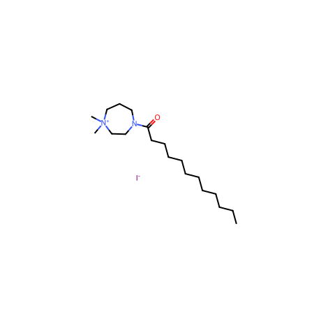 CCCCCCCCCCCC(=O)N1CCC[N+](C)(C)CC1.[I-]